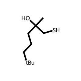 CC(C)(C)CCCC(C)(O)CS